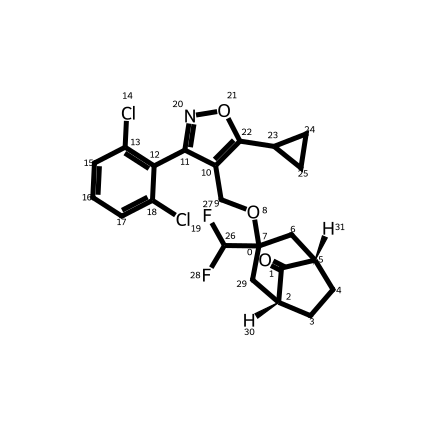 O=C1[C@@H]2CC[C@H]1CC(OCc1c(-c3c(Cl)cccc3Cl)noc1C1CC1)(C(F)F)C2